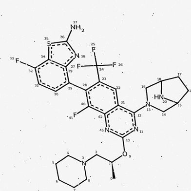 C[C@@H](CN1CCCCC1)Oc1nc(N2CC3CCC(C2)N3)c2cc(C(F)(F)F)c(-c3ccc(F)c4sc(N)nc34)c(F)c2n1